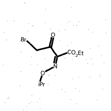 CCOC(=O)C(=NOC(C)C)C(=O)CBr